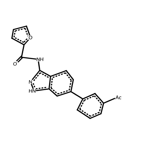 CC(=O)c1cccc(-c2ccc3c(NC(=O)c4ccco4)n[nH]c3c2)c1